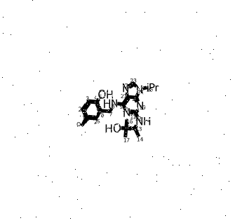 Cc1ccc(O)c(CNc2nc(NC(C)C(C)(C)O)nc3c2ncn3C(C)C)c1